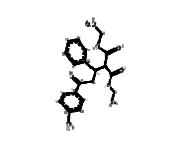 CC(=O)OCOC(=O)C(C(=O)OCOC(C)=O)C(CC(=O)c1ccc(C(F)(F)F)cc1)c1ccccc1